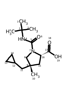 CC(C)(C)NC(=O)N1C[C@@](C)(CC2CC2)C[C@H]1C(=O)O